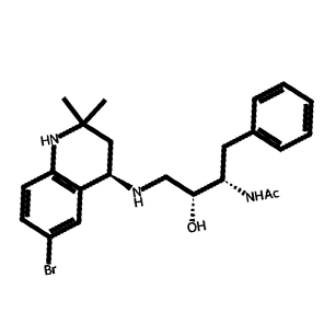 CC(=O)N[C@@H](Cc1ccccc1)[C@H](O)CN[C@@H]1CC(C)(C)Nc2ccc(Br)cc21